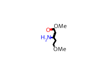 COCCC(N)=CC(=O)OC